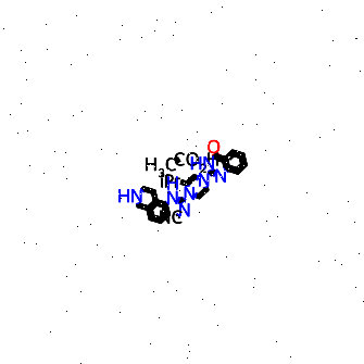 CC(=O)O.CC(C)C1CN(c2nc3ccccc3c(=O)[nH]2)CCN1C(=NC#N)Nc1cccc2c1CCNC2